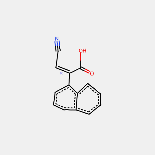 N#C/C=C(\C(=O)O)c1cccc2ccccc12